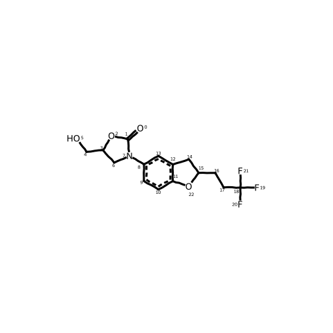 O=C1OC(CO)CN1c1ccc2c(c1)CC(CCC(F)(F)F)O2